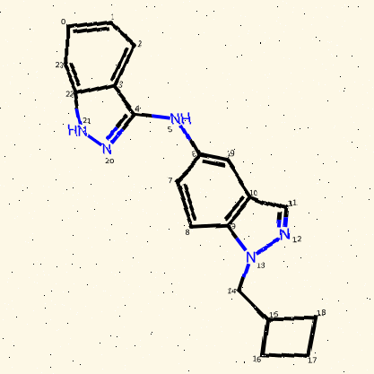 c1ccc2c(Nc3ccc4c(cnn4CC4CCC4)c3)n[nH]c2c1